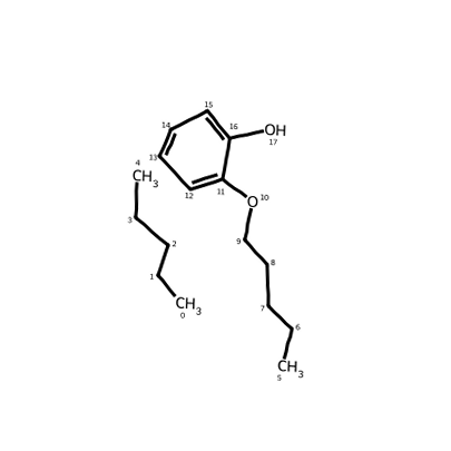 CCCCC.CCCCCOc1ccccc1O